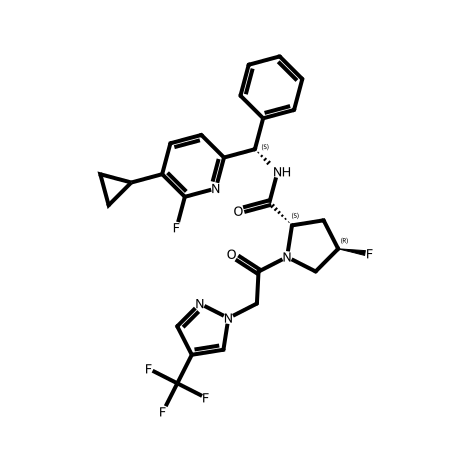 O=C(N[C@@H](c1ccccc1)c1ccc(C2CC2)c(F)n1)[C@@H]1C[C@@H](F)CN1C(=O)Cn1cc(C(F)(F)F)cn1